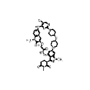 CNC(=O)COC1=Cc2cc(Nc3nc(N4CCC(OC5CCN(c6ccc7c(C8CCC(=O)NC8=O)nn(C)c7c6)CC5)CC4)ncc3Cl)ccc2N(C)C1O